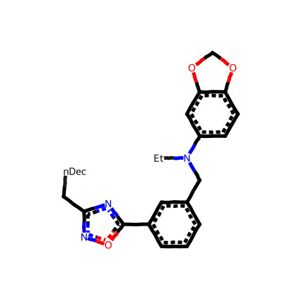 CCCCCCCCCCCc1noc(-c2cccc(CN(CC)c3ccc4c(c3)OCO4)c2)n1